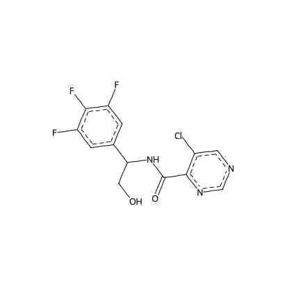 O=C(NC(CO)c1cc(F)c(F)c(F)c1)c1ncncc1Cl